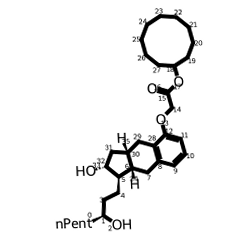 CCCCC[C@H](O)CC[C@@H]1[C@H]2Cc3cccc(OCC(=O)OC4CCCCCCCCC4)c3C[C@H]2C[C@H]1O